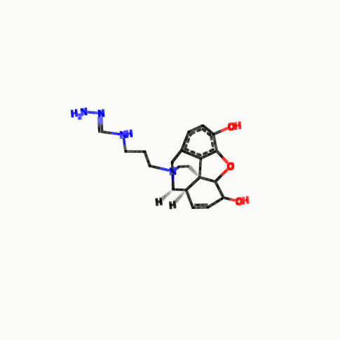 NN=CNCCCN1CC[C@]23c4c5ccc(O)c4OC2C(O)C=C[C@H]3[C@H]1C5